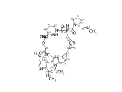 CCn1c(-c2cccnc2[C@H](C)OC)c2c3cc(ccc31)-c1csc(n1)C[C@H](NC(=O)N1CCC[C@@H]1COC)C(=O)N1CCC[C@@](O)(N1)C(=O)OCC(C)(C)C2